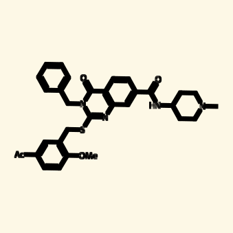 COc1ccc(C(C)=O)cc1CSc1nc2cc(C(=O)NC3CCN(C)CC3)ccc2c(=O)n1Cc1ccccc1